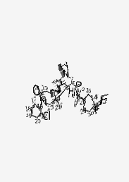 CC(C)(NC(=O)[C@@H]1CNC[C@H](N2CC(=O)N(c3ccccc3Cl)CC2(C)C)C1)C1CCC(F)(F)CC1